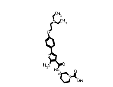 CCN(CC)CCOc1ccc(-c2cc(C(=O)N[C@H]3CCCN(C(=O)O)C3)c(N)s2)cc1